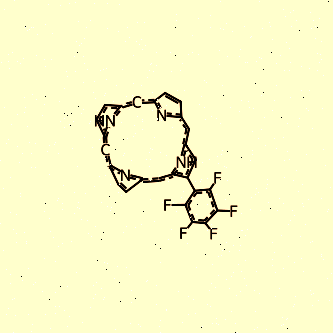 Fc1c(F)c(F)c(-c2cc3cc4nc(cc5ccc(cc6nc(cc2[nH]3)C=C6)[nH]5)C=C4)c(F)c1F